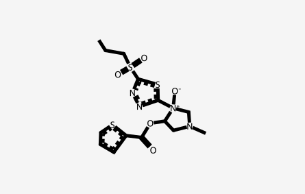 CCCS(=O)(=O)c1nnc([N+]2([O-])CN(C)CC2OC(=O)c2cccs2)s1